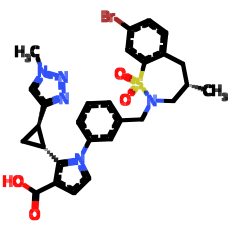 C[C@H]1Cc2ccc(Br)cc2S(=O)(=O)N(Cc2cccc(-n3ccc(C(=O)O)c3[C@@H]3C[C@H]3c3cn(C)nn3)c2)C1